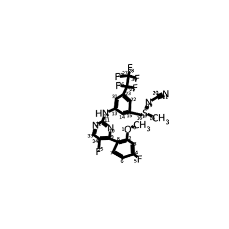 COc1cc(F)ccc1-c1nc(Nc2cc(CS(C)=NC#N)cc(C(F)(F)C(F)(F)F)c2)ncc1F